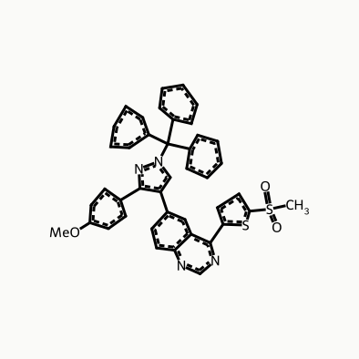 COc1ccc(-c2nn(C(c3ccccc3)(c3ccccc3)c3ccccc3)cc2-c2ccc3ncnc(-c4ccc(S(C)(=O)=O)s4)c3c2)cc1